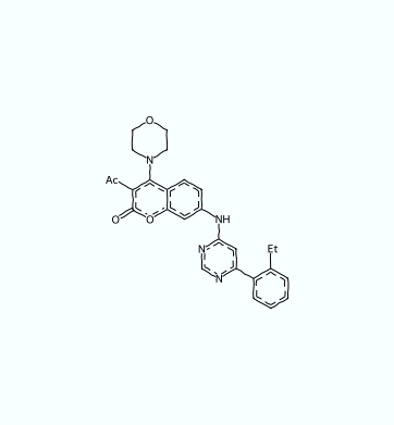 CCc1ccccc1-c1cc(Nc2ccc3c(N4CCOCC4)c(C(C)=O)c(=O)oc3c2)ncn1